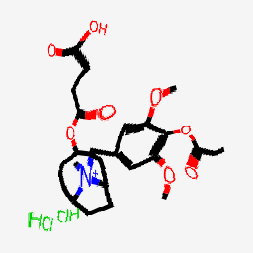 COc1cc(C[N+]2(C)C3CCC2CC(OC(=O)CCC(=O)O)C3)cc(OC)c1OC(C)=O.Cl.Cl